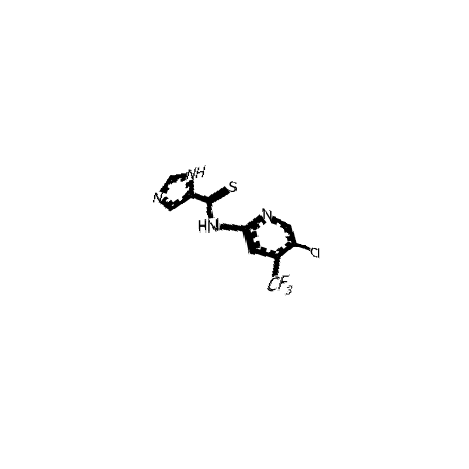 FC(F)(F)c1cc(NC(=S)c2cnc[nH]2)ncc1Cl